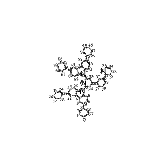 c1ccc(-c2ccc3c(c2)c2cc(-c4ccccc4)ccc2n3-c2cc(-c3cccc(-c4ccccn4)c3)cc(-n3c4ccc(-c5ccccc5)cc4c4cc(-c5ccccc5)ccc43)n2)cc1